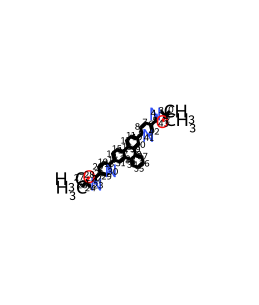 CC1(C)CN=C(c2ccc(-c3ccc4c5ccc(-c6ccc(C7=NCC(C)(C)O7)cn6)cc5c5ccccc5c4c3)nc2)O1